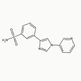 NS(=O)(=O)c1cccc(-c2cn(-c3cccnc3)cn2)c1